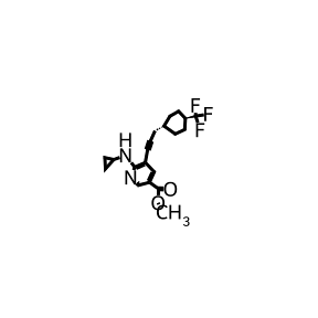 COC(=O)c1cnc(NC2CC2)c(C#CC[C@H]2CC[C@H](C(F)(F)F)CC2)c1